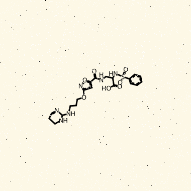 O=C(NCC(NS(=O)(=O)c1ccccc1)C(=O)O)c1cc(OCCCNC2N=CCCN2)no1